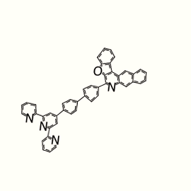 c1ccc(-c2cc(-c3ccc(-c4ccc(-c5nc6cc7ccccc7cc6c6c5oc5ccccc56)cc4)cc3)cc(-c3ccccn3)n2)nc1